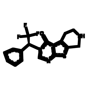 O=c1c2c3c(sc2ncn1[C@@H](c1ccccc1)C(F)(F)F)CNCC3